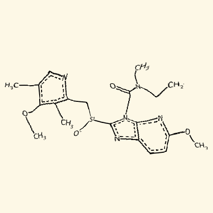 [CH2]CN(C)C(=O)n1c([S+]([O-])Cc2ncc(C)c(OC)c2C)nc2ccc(OC)nc21